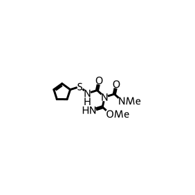 CNC(=O)N(C(=N)OC)C(=O)NSC1C=CCC1